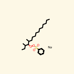 CCCCCCCCCCCC(C)C(OOS(=O)(=O)c1ccccc1)C(C)CC.[Na]